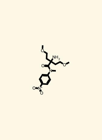 COCCC(N)(CCOC)C(=O)N(C)c1ccc([N+](=O)[O-])cc1